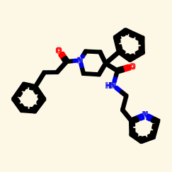 O=C(CCc1ccccc1)N1CCC(C(=O)NCCc2ccccn2)(c2ccccc2)CC1